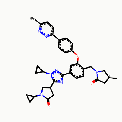 CC(C)c1ccc(-c2ccc(Oc3cc(-c4nc(C5CC(=O)N(C6CC6)C5)n(C5CC5)n4)ccc3CN3C[C@@H](C)CC3=O)cc2)nn1